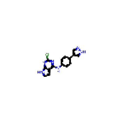 Clc1nc(Nc2ccc(-c3cn[nH]c3)cc2)c2cc[nH]c2n1